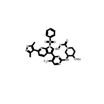 COC1CCN(C(=O)OC(C)(C)C)CC1Nc1ncc(C(F)(F)F)c(-c2cn(S(=O)(=O)c3ccccc3)c3nc(-c4c(C)noc4C)ccc23)n1